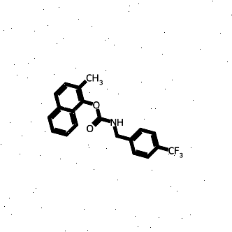 Cc1ccc2ccccc2c1OC(=O)NCc1ccc(C(F)(F)F)cc1